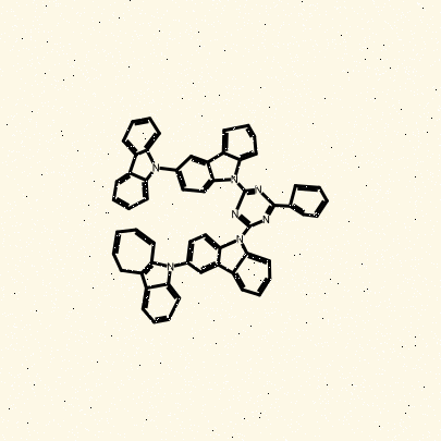 C1=CCc2c(n(-c3ccc4c(c3)c3ccccc3n4-c3nc(-c4ccccc4)nc(-n4c5ccccc5c5cc(-n6c7ccccc7c7ccccc76)ccc54)n3)c3ccccc23)C=C1